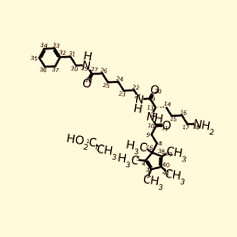 CC(=O)O.CC1=C(C)C(C)(CCC(=O)N[C@@H](CCCCN)C(=O)NCCCCCC(=O)NCCC2=CC=CCC2)C(C)=C1C